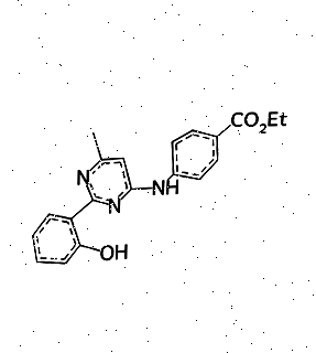 CCOC(=O)c1ccc(Nc2cc(C)nc(-c3ccccc3O)n2)cc1